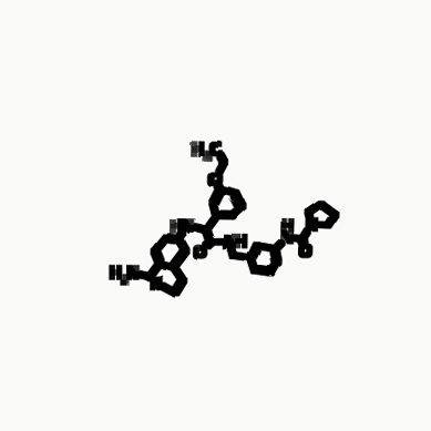 CCOc1cccc(C(Nc2ccc3c(N)nccc3c2)C(=O)NCc2cccc(NC(=O)N3CCCC3)c2)c1